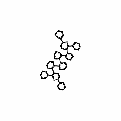 c1ccc(-c2ccc(-c3ccccc3-c3ccccc3-c3ccccc3-c3ccccc3-c3ccc(-c4ccccc4)nc3-c3ccccc3)c(-c3ccccc3)n2)cc1